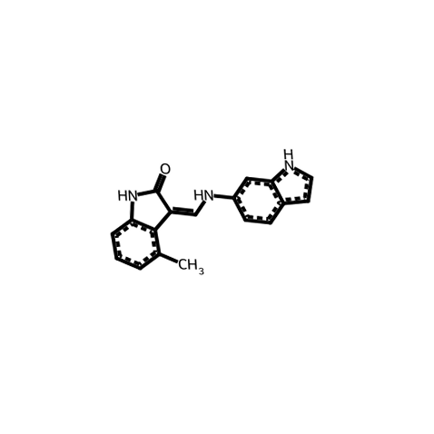 Cc1cccc2c1C(=CNc1ccc3cc[nH]c3c1)C(=O)N2